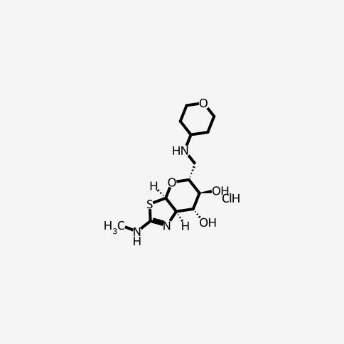 CNC1=N[C@@H]2[C@@H](O)[C@H](O)[C@@H](CNC3CCOCC3)O[C@@H]2S1.Cl